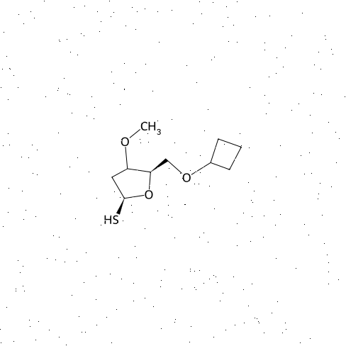 COC1C[C@H](S)O[C@@H]1COC1CCC1